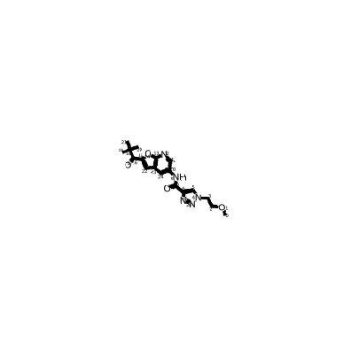 COCCn1cc(C(=O)Nc2cnc3oc(C(=O)C(C)(C)C)cc3c2)nn1